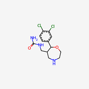 NC(=O)NCC1CNCCOC1c1ccc(Cl)c(Cl)c1